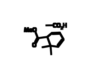 CC(=O)O.COC(=O)C1C=CC=CC1(C)C